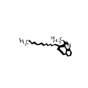 CCCCCCCCCCCCc1ccc2cccc3c2c1C(C)=N3.I